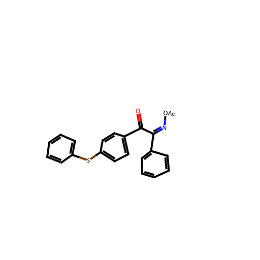 CC(=O)O/N=C(\C(=O)c1ccc(Sc2ccccc2)cc1)c1ccccc1